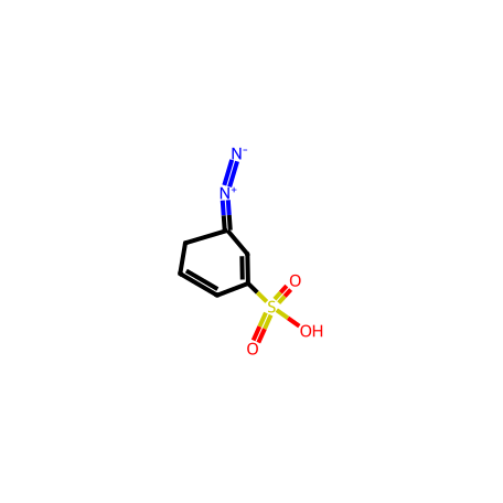 [N-]=[N+]=C1C=C(S(=O)(=O)O)C=CC1